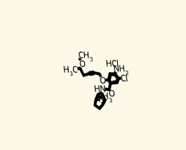 CCOC(C)CC#CCOc1cc(N)c(Cl)cc1C(=O)NC1CC2CCC(C1)N2C.Cl